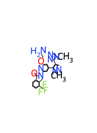 Cn1cnnc1-c1cnn(C)c1-c1cc(OCCN)nc(N2Cc3c(cccc3C(F)(F)F)C2=O)c1